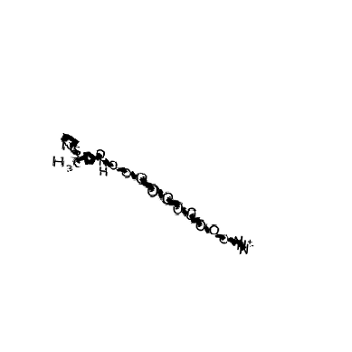 CC(SSc1ccccn1)c1ccc(C(=O)NCCOCCOCCOCCOCCOCCOCCOCCOCCOCCOCCN=[N+]=[N-])cc1